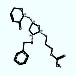 CC(=O)OCCC[C@H]1O[C@@H](C[C@H]2OCC=CC2=O)C[C@H]1OCc1ccccc1